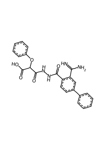 N=C(N)c1cc(-c2ccccc2)ccc1C(=O)NNC(=O)C(Oc1ccccc1)C(=O)O